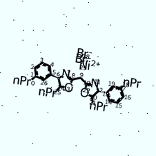 CCCc1cccc([C@H]2N=C(CC3=N[C@H](c4cccc(CCC)c4)C(CCC)O3)OC2CCC)c1.[Br-].[Br-].[Ni+2]